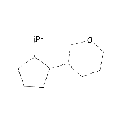 CC(C)C1CCCC1C1CCCOC1